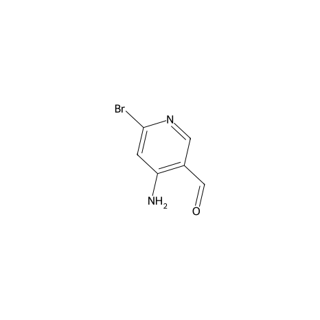 Nc1cc(Br)ncc1C=O